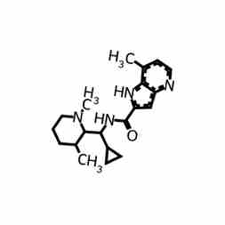 Cc1ccnc2cc(C(=O)NC(C3CC3)C3C(C)CCCN3C)[nH]c12